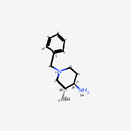 CCCC[C@@H]1CN(Cc2ccccc2)CC[C@H]1N